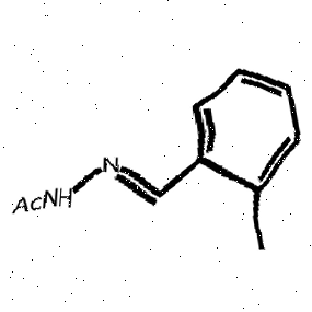 [CH2]C(=O)NN=Cc1ccccc1C